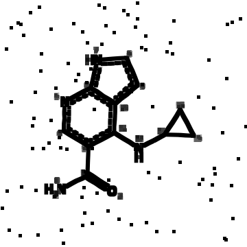 NC(=O)c1cnc2[nH]ccc2c1NC1CC1